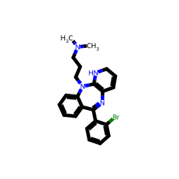 CN(C)CCCN1C2=C(C=CCN2)N=C(c2ccccc2Br)c2ccccc21